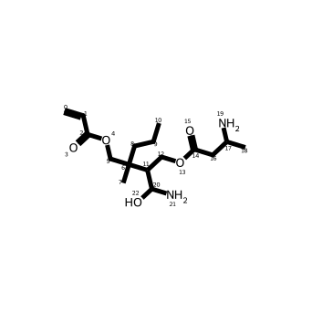 C=CC(=O)OCC(C)(CCC)C(COC(=O)CC(C)N)C(N)O